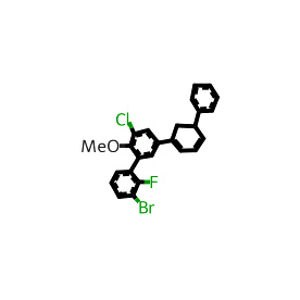 COc1c(Cl)cc(C2=CC=CC(c3ccccc3)C2)cc1-c1cccc(Br)c1F